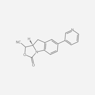 N#CC1OC(=O)N2c3ccc(-c4cccnc4)cc3C[C@@H]12